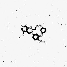 COc1ccc(N(CCSC(C)=O)Cc2c(Cl)cncc2Cl)cc1OC1CCCC1